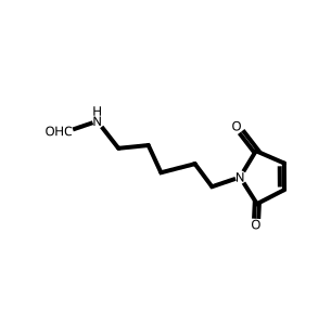 O=CNCCCCCN1C(=O)C=CC1=O